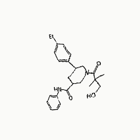 CCc1ccc(C2CC(C(=O)Nc3ccccc3)CN(C(=O)C(C)(C)CO)C2)cc1